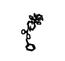 O=C(OCc1ccccc1)N1CCN(S(=O)(=O)n2nccn2)CC1